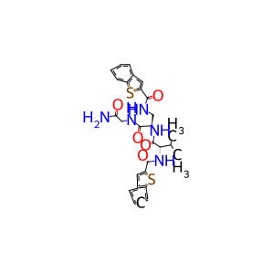 CC(C)[C@H](NC(=O)c1cc2ccccc2s1)C(=O)N[C@H](CNC(=O)c1cc2ccccc2s1)C(=O)NCC(N)=O